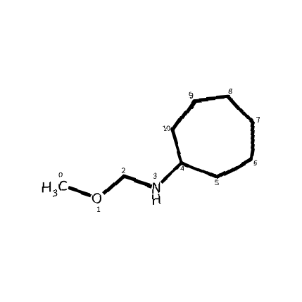 COCNC1CCCCCC1